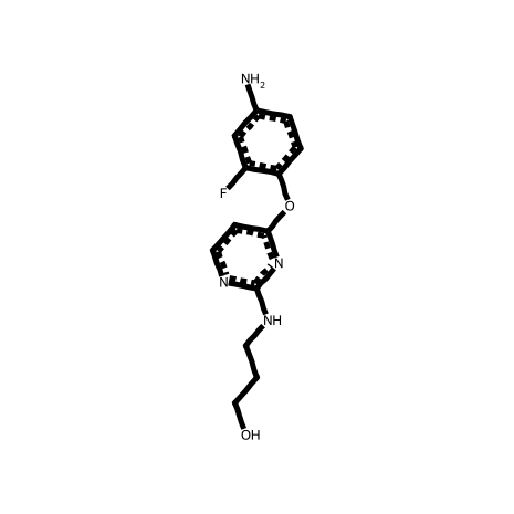 Nc1ccc(Oc2ccnc(NCCCO)n2)c(F)c1